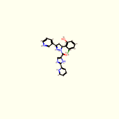 O=C(c1cnc(-c2ccccn2)[nH]1)N1N=C(c2cccnc2)CC1c1c(O)cccc1F